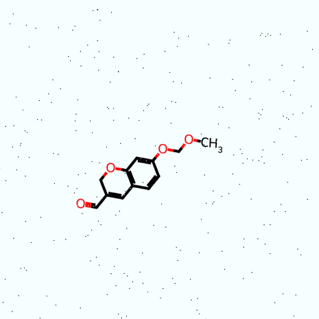 COCOc1ccc2c(c1)OCC(C=O)=C2